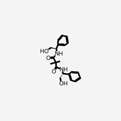 CC(C)(C(=O)N[C@@H](CO)c1ccccc1)C(=O)N[C@@H](CO)c1ccccc1